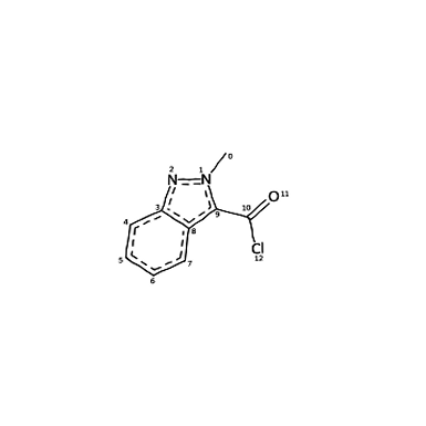 Cn1nc2ccccc2c1C(=O)Cl